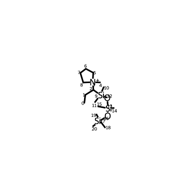 CCC([N+]1(C)CCCC1)[Si](C)(C)O[Si](C)(C)O[Si](C)(C)C